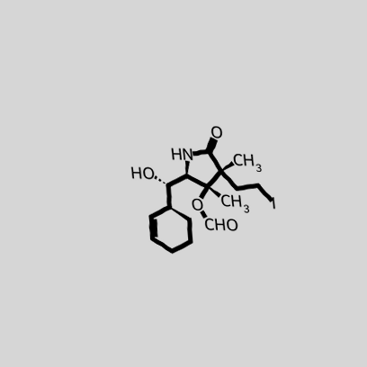 C[C@]1(CCI)C(=O)N[C@H]([C@@H](O)[C@@H]2C=CCCC2)[C@@]1(C)OC=O